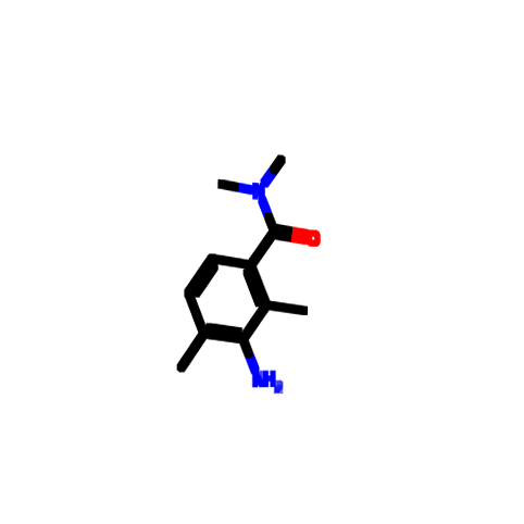 Cc1ccc(C(=O)N(C)C)c(C)c1N